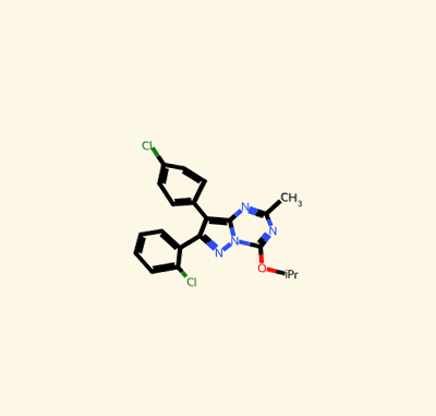 Cc1nc(OC(C)C)n2nc(-c3ccccc3Cl)c(-c3ccc(Cl)cc3)c2n1